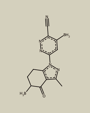 Bc1cc(-n2nc(C)c3c2CCC(B)C3=O)nnc1C#N